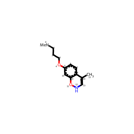 CNCCCOc1ccc2c(c1)ONC=C2C